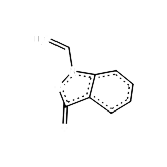 C=Cn1oc(=O)c2ccccc21